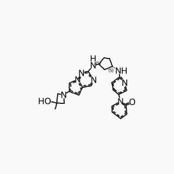 CC1(O)CN(c2cc3cnc(N[C@H]4CC[C@H](Nc5ccc(-n6ccccc6=O)cn5)C4)nn3c2)C1